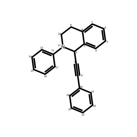 C(#CC1c2ccccc2CCN1c1ccccc1)c1ccccc1